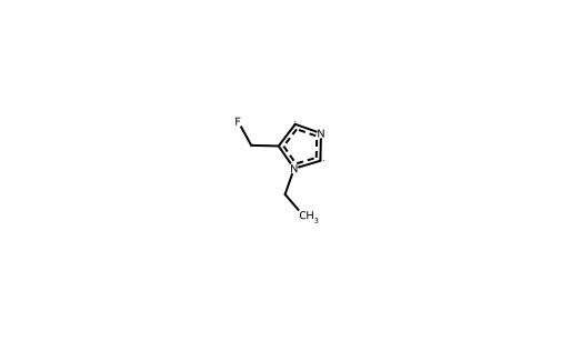 CCn1[c]n[c]c1CF